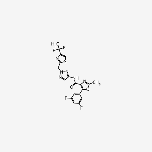 Cc1nc(C(=O)Nc2cnn(Cc3nc(C(C)(F)F)cs3)n2)c(-c2cc(F)cc(F)c2)o1